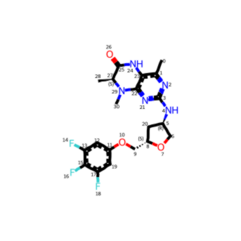 Cc1nc(N[C@H]2CO[C@H](COc3cc(F)c(F)c(F)c3)C2)nc2c1NC(=O)[C@H](C)N2C